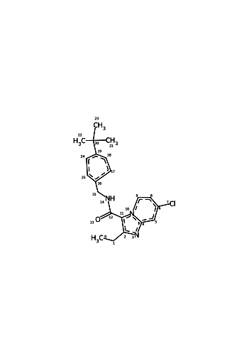 CCc1nc2cc(Cl)ccn2c1C(=O)NCc1ccc(C(C)(C)C)cc1